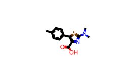 Cc1ccc(-c2sc(N(C)C)nc2C(=O)O)cc1